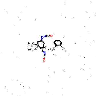 CC1(C)CC(N=C=O)CC(C)(CN=C=O)C1.Cc1ccccc1C